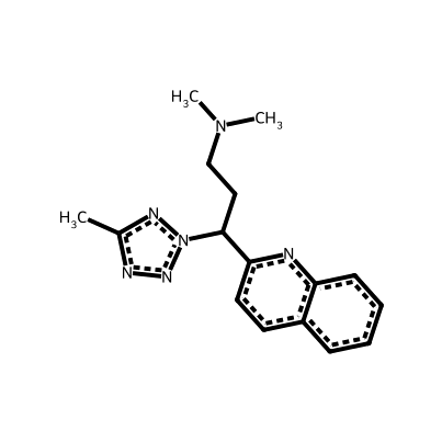 Cc1nnn(C(CCN(C)C)c2ccc3ccccc3n2)n1